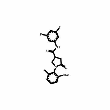 COc1cccc(C)c1N1CC(C(=O)Nc2cc(F)cc(F)c2)CC1=O